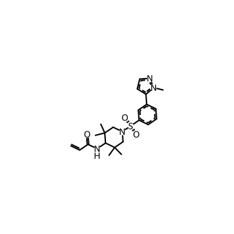 C=CC(=O)NC1C(C)(C)CN(S(=O)(=O)c2cccc(-c3ccnn3C)c2)CC1(C)C